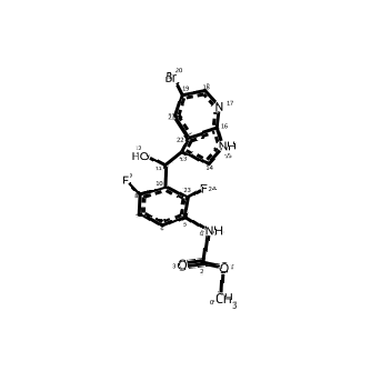 COC(=O)Nc1ccc(F)c(C(O)c2c[nH]c3ncc(Br)cc23)c1F